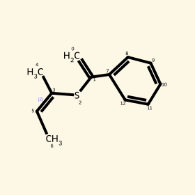 C=C(S/C(C)=C\C)c1ccccc1